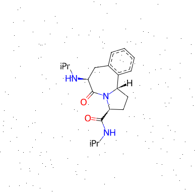 CC(C)NC(=O)[C@@H]1CC[C@H]2c3ccccc3C[C@H](NC(C)C)C(=O)N12